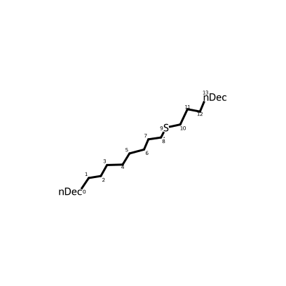 CCCCCCCCCCCCCCCCC[CH]SCCCCCCCCCCCCC